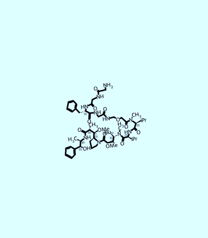 CC[C@H](C)[C@@H]([C@@H](CC(=O)N1CCC[C@H]1[C@H](OC)[C@@H](C)C(=O)N[C@H](C)[C@@H](O)c1ccccc1)OC)N(C)C(=O)[C@@H](NC(=O)[C@H](C(C)C)N(C)C(=O)COCNC(=O)CNC(=O)[C@H](Cc1ccccc1)NC(=O)CNC(=O)CN)C(C)C